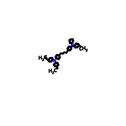 C=Cc1ccc(N(c2ccccc2)c2ccc(CCCCc3ccc(N(c4ccc(C=C)cc4)c4ccc(C=C)cc4)cc3)cc2)cc1